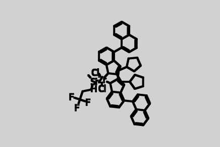 C[SiH](CCC(F)(F)F)[Zr]([Cl])([Cl])([CH]1C(CC2CCCC2)=Cc2c(-c3cccc4ccccc34)cccc21)[CH]1C(CC2CCCC2)=Cc2c(-c3cccc4ccccc34)cccc21